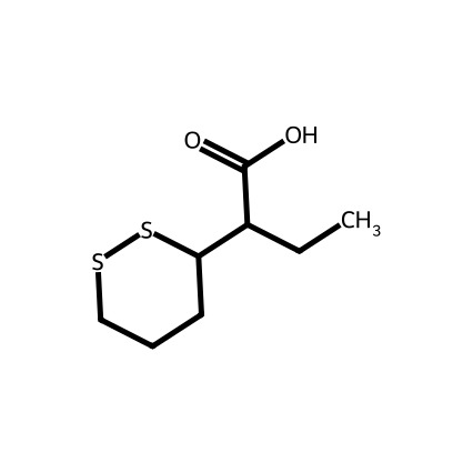 CCC(C(=O)O)C1CCCSS1